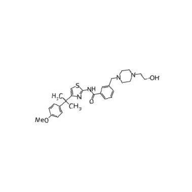 COc1ccc(C(C)(C)c2csc(NC(=O)c3cccc(CN4CCN(CCO)CC4)c3)n2)cc1